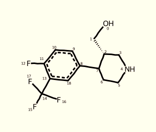 OC[C@@H]1CNCCC1c1ccc(F)c(C(F)(F)F)c1